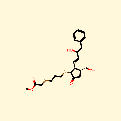 COC(=O)CSCCCS[C@H]1C(=O)C[C@@H](CO)[C@@H]1C=CC(O)Cc1ccccc1